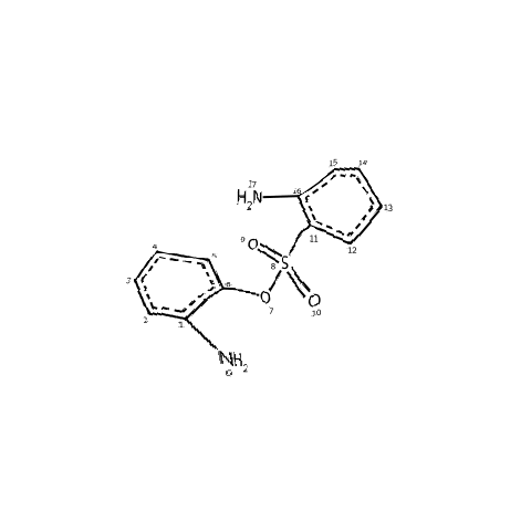 Nc1ccccc1OS(=O)(=O)c1ccccc1N